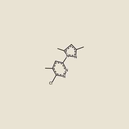 Cc1cc(C)n(-c2cc(C)c(Cl)nn2)n1